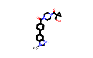 CN1CNc2cc(-c3ccc(C(=O)N4CCN(C(=O)C5(CO)CC5)CC4)cc3)ccc21